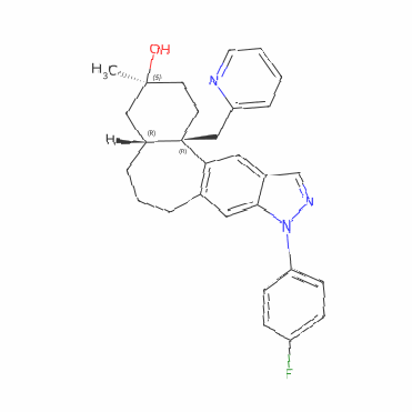 C[C@]1(O)CC[C@]2(Cc3ccccn3)c3cc4cnn(-c5ccc(F)cc5)c4cc3CCC[C@@H]2C1